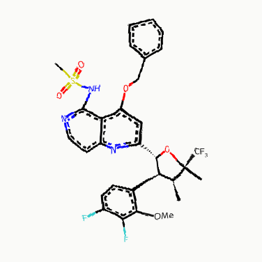 COc1c([C@H]2[C@H](c3cc(OCc4ccccc4)c4c(NS(C)(=O)=O)nccc4n3)O[C@@](C)(C(F)(F)F)[C@H]2C)ccc(F)c1F